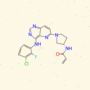 C=CC(=O)N[C@H]1CCN(c2ccc3ncnc(Nc4cccc(Cl)c4F)c3n2)C1